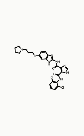 O=C(Nc1nc2ccc(OCCCN3CCCC3)cc2[nH]1)c1nc[nH]c1C(=O)Nc1c(Cl)cccc1Cl